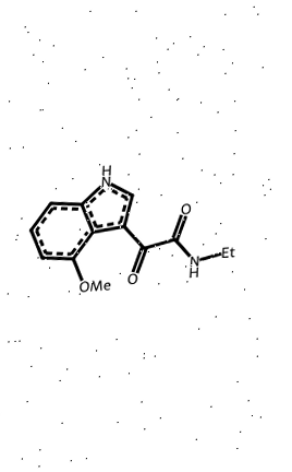 CCNC(=O)C(=O)c1c[nH]c2cccc(OC)c12